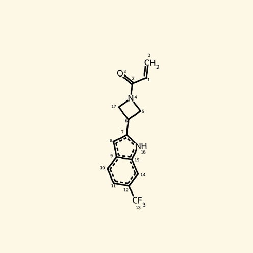 C=CC(=O)N1CC(c2cc3ccc(C(F)(F)F)cc3[nH]2)C1